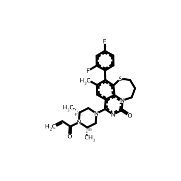 C=CC(=O)N1[C@H](C)CN(c2nc(=O)n3c4c(c(-c5ccc(F)cc5F)c(C)cc24)SCCC3)C[C@@H]1C